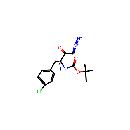 CC(C)(C)OC(=O)N[C@@H](Cc1ccc(Cl)cc1)C(=O)C=[N+]=[N-]